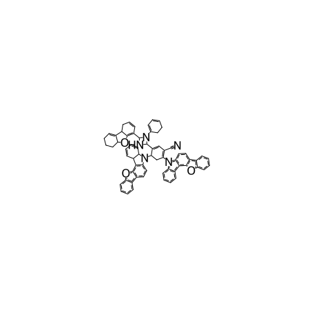 N#CC1=C(n2c3ccccc3c3c4oc5ccccc5c4ccc32)CC(N2c3ccc4c(oc5ccccc54)c3C3C=CC=CC32)C(C2NC(C3=C4OC5CCCC=C5C4CC=C3)N2C2=CC=CCC2)=C1